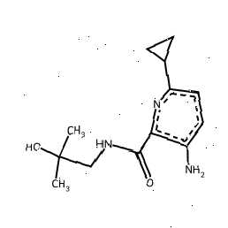 CC(C)(O)CNC(=O)c1nc(C2CC2)ccc1N